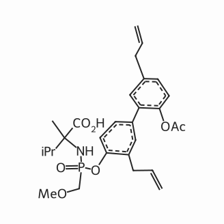 C=CCc1ccc(OC(C)=O)c(-c2ccc(OP(=O)(COC)NC(C)(C(=O)O)C(C)C)c(CC=C)c2)c1